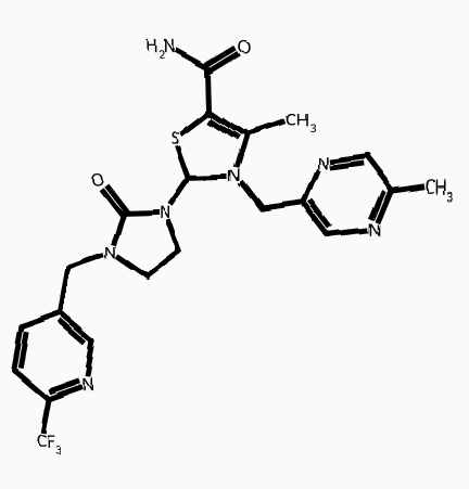 CC1=C(C(N)=O)SC(N2CCN(Cc3ccc(C(F)(F)F)nc3)C2=O)N1Cc1cnc(C)cn1